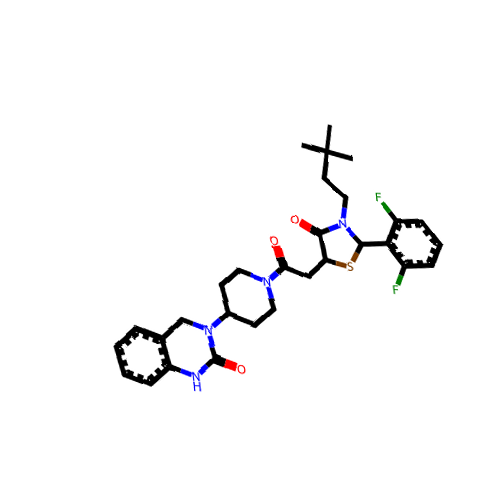 CC(C)(C)CCN1C(=O)C(CC(=O)N2CCC(N3Cc4ccccc4NC3=O)CC2)SC1c1c(F)cccc1F